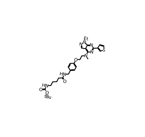 CCn1ncc2c(N(C)CCOc3ccc(CNC(=O)CCCCNC(=O)OC(C)(C)C)cc3)nc(-c3ccsc3)nc21